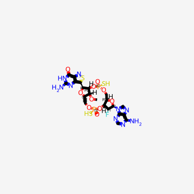 CO[C@H]1[C@H]2O[P@@](=O)(S)OC[C@H]3O[C@@H](n4cnc5c(N)ncnc54)[C@H](F)[C@@H]3O[P@@](=O)(S)OC[C@H]1O[C@H]2c1snc2c(=O)[nH]c(N)nc12